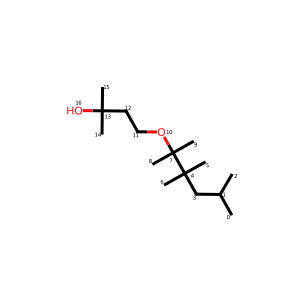 CC(C)CC(C)(C)C(C)(C)OCCC(C)(C)O